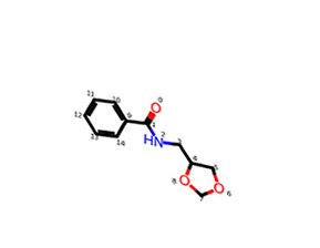 O=C(NCC1COCO1)c1ccccc1